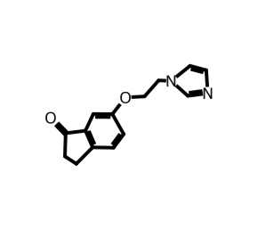 O=C1CCc2ccc(OCCn3ccnc3)cc21